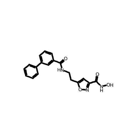 O=C(NCCc1cc(C(=O)NO)no1)c1cccc(-c2ccccc2)c1